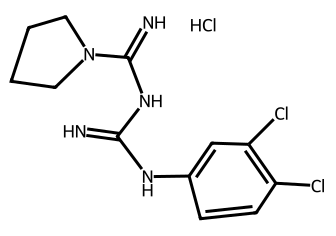 Cl.N=C(NC(=N)N1CCCC1)Nc1ccc(Cl)c(Cl)c1